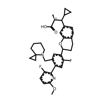 COc1ccc(F)c(-c2cc(F)c(C3CCc4ccc(C(C5CC5)[C@H](C)C(=O)O)cc4O3)cc2CN2CCCCC23CC3)n1